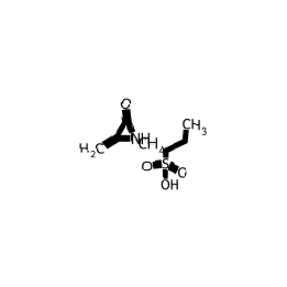 C.C=C1NC1=O.CCCS(=O)(=O)O